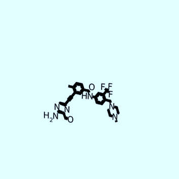 Cc1ccc(C(=O)Nc2ccc(CN3CCN(C)CC3)c(C(F)(F)F)c2)cc1C#Cc1cnc(N)c(C=O)n1